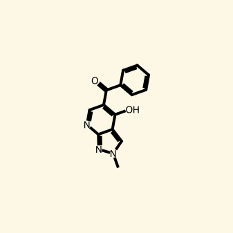 Cn1cc2c(O)c(C(=O)c3ccccc3)cnc2n1